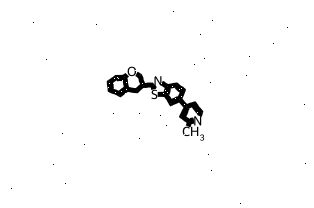 Cc1cc(-c2ccc3nc(C4COc5ccccc5C4)sc3c2)ccn1